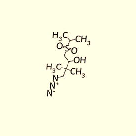 CC(C)S(=O)(=O)CC(O)C(C)(C)CN=[N+]=[N-]